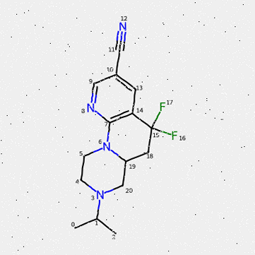 CC(C)N1CCN2c3ncc(C#N)cc3C(F)(F)CC2C1